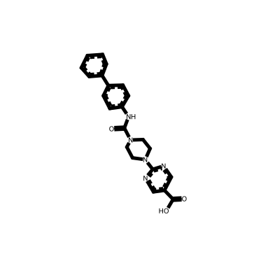 O=C(O)c1cnc(N2CCN(C(=O)Nc3ccc(-c4ccccc4)cc3)CC2)nc1